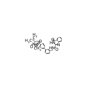 CON(C=O)C(CS(=O)(=O)c1ccc(-c2cccc(CNC(=O)c3nc4ccccc4c(=O)[nH]3)c2)cc1)C(C)C